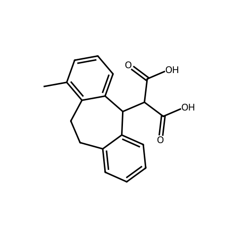 Cc1cccc2c1CCc1ccccc1C2C(C(=O)O)C(=O)O